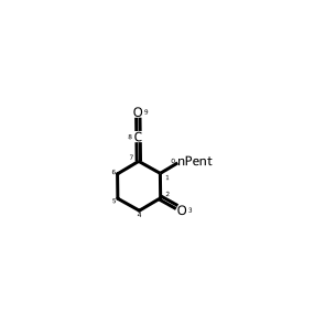 CCCCCC1C(=O)CCCC1=C=O